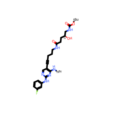 CCCNc1nc(Nc2cccc(F)c2)ncc1C#CCCCNC(=O)CC[C@H](O)CNC(=O)OC(C)(C)C